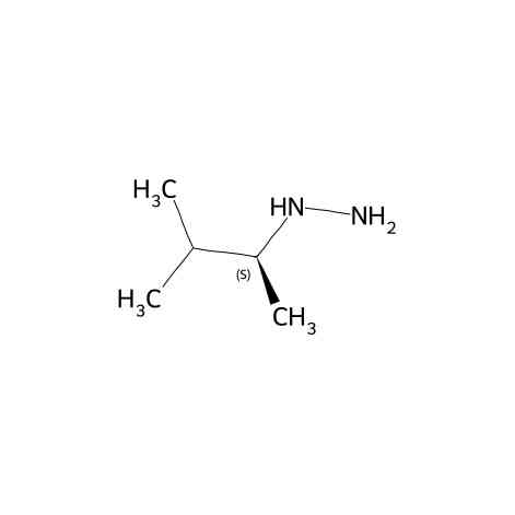 CC(C)[C@H](C)NN